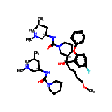 CNC[C@H](CC(C)C)NC(=O)N1CCCCC1.CNC[C@H](CC(C)C)NC(=O)N1CCC[C@@H]([C@@](O)(CCCCOC)c2cc(F)ccc2Oc2ccccc2)C1